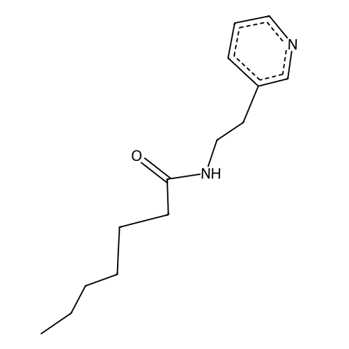 CCCCCCC(=O)NCCc1cccnc1